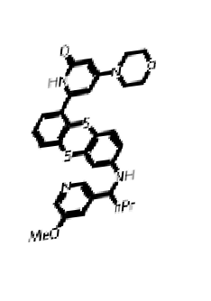 CCCC(Nc1ccc2c(c1)Sc1cccc(-c3cc(N4CCOCC4)cc(=O)[nH]3)c1S2)c1cncc(OC)c1